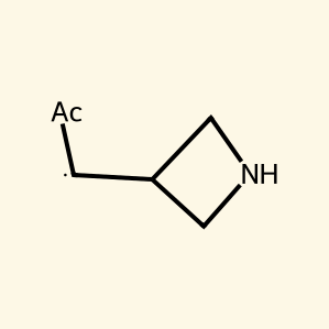 CC(=O)[CH]C1CNC1